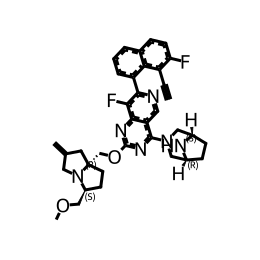 C#Cc1c(F)ccc2cccc(-c3ncc4c(N5C[C@H]6CC[C@@H](C5)N6)nc(OC[C@]56CC[C@@H](COC)N5CC(=C)C6)nc4c3F)c12